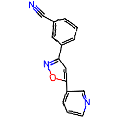 N#Cc1cccc(-c2cc(-c3cccnc3)on2)c1